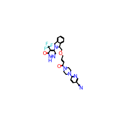 N#Cc1ccc(N2CCN(C(=O)/C=C/COCC3c4ccccc4CN3c3cn[nH]c(=O)c3C(F)(F)F)CC2)nc1